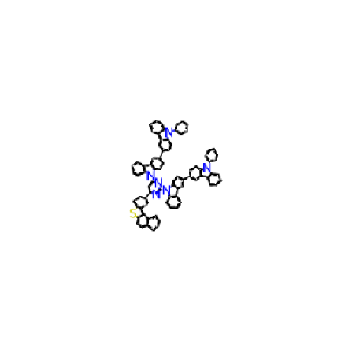 c1ccc(-n2c3ccccc3c3cc(-c4ccc5c(c4)c4ccccc4n5-c4cc(-c5ccc6sc7ccc8ccccc8c7c6c5)nc(-n5c6ccccc6c6cc(-c7ccc8c(c7)c7ccccc7n8-c7ccccc7)ccc65)n4)ccc32)cc1